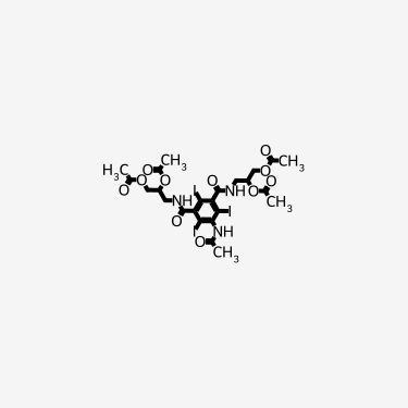 CC(=O)Nc1c(I)c(C(=O)NCC(COC(C)=O)OC(C)=O)c(I)c(C(=O)NCC(COC(C)=O)OC(C)=O)c1I